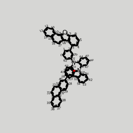 c1cc(-c2cccc3oc4c5ccccc5ccc4c23)cc(N(c2ccc(-c3ccc4c(ccc5ccccc54)c3)cc2)c2ccccc2-n2c3ccccc3c3ccccc32)c1